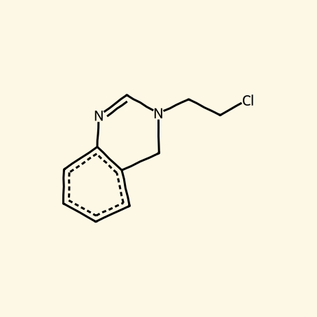 ClCCN1C=Nc2ccccc2C1